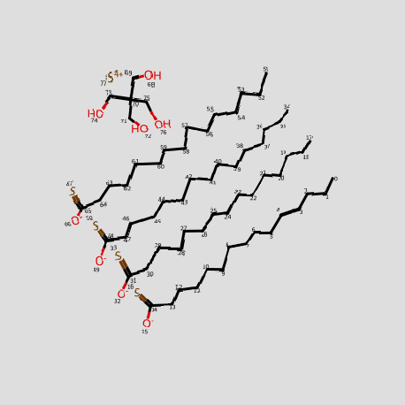 CCCCCCCCCCCCCCC([O-])=S.CCCCCCCCCCCCCCC([O-])=S.CCCCCCCCCCCCCCC([O-])=S.CCCCCCCCCCCCCCC([O-])=S.OCC(CO)(CO)CO.[S+4]